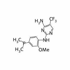 COc1cc(P(C)C)ccc1Nc1ncc(C(F)(F)F)c(N)n1